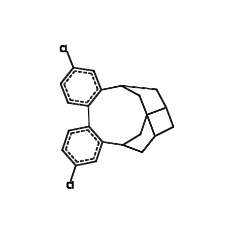 Clc1ccc2c(c1)C1CC3CC4CC(CC34C1)c1cc(Cl)ccc1-2